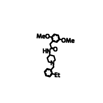 CCc1ccccc1CN1CCC(NC(=O)Cc2cc(OC)ccc2OC)CC1